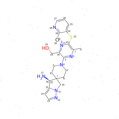 Cc1nc(N2CCC3(CC2)Cn2nccc2[C@H]3N)c(CO)nc1Sc1cccnc1C(F)(F)F